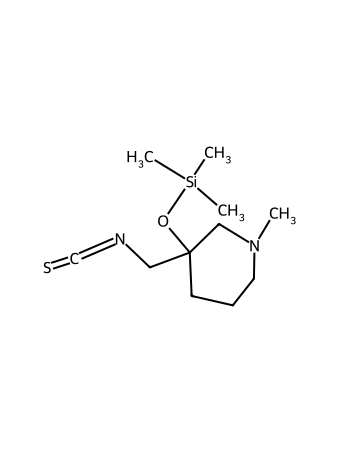 CN1CCCC(CN=C=S)(O[Si](C)(C)C)C1